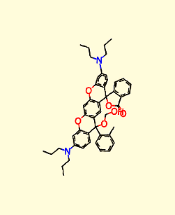 CCCN(CCC)c1ccc2c(c1)Oc1cc3c(cc1C2(OCO)c1ccccc1C)C1(OC(=O)c2ccccc21)c1ccc(N(CCC)CCC)cc1O3